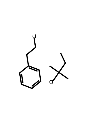 CCC(C)(C)Cl.ClCCc1ccccc1